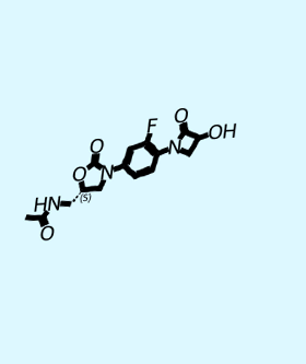 CC(=O)NC[C@H]1CN(c2ccc(N3CC(O)C3=O)c(F)c2)C(=O)O1